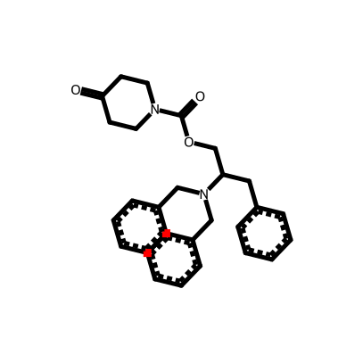 O=C1CCN(C(=O)OCC(Cc2ccccc2)N(Cc2ccccc2)Cc2ccccc2)CC1